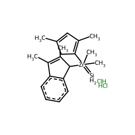 CC1=CC(C)=[C]([Zr]([CH3])([CH3])(=[SiH2])[CH]2C(C)=C(C)c3ccccc32)C1.Cl.Cl